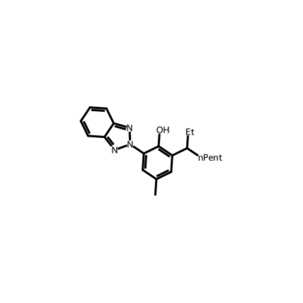 CCCCCC(CC)c1cc(C)cc(-n2nc3ccccc3n2)c1O